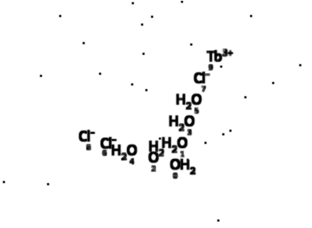 O.O.O.O.O.O.[Cl-].[Cl-].[Cl-].[Tb+3]